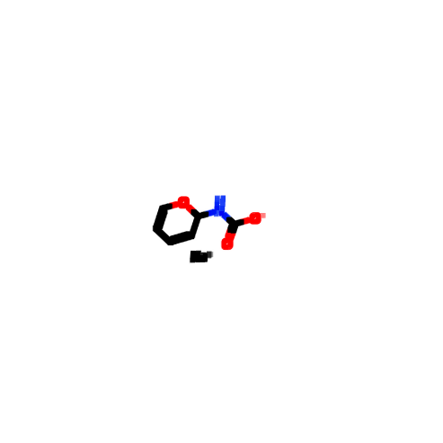 O=C([O-])NC1C=CC=CO1.[Na+]